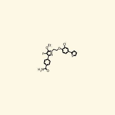 CCOc1c(F)c(-c2ccc(C(N)=O)cc2)nn1CCOc1ccc(-c2cccs2)cc1Cl